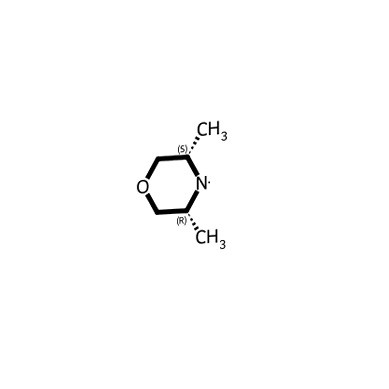 C[C@@H]1COC[C@H](C)[N]1